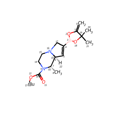 C=C1OB(C2=C[C@H]3[C@H](C)N(C(=O)OC(C)(C)C)CCN3C2)OC1(C)C